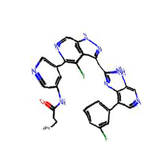 CC(C)CC(=O)Nc1cncc(-c2ncc3[nH]nc(-c4nc5c(-c6cccc(F)c6)cncc5[nH]4)c3c2F)c1